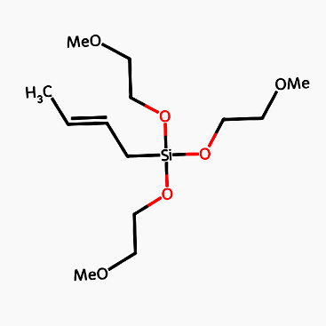 CC=CC[Si](OCCOC)(OCCOC)OCCOC